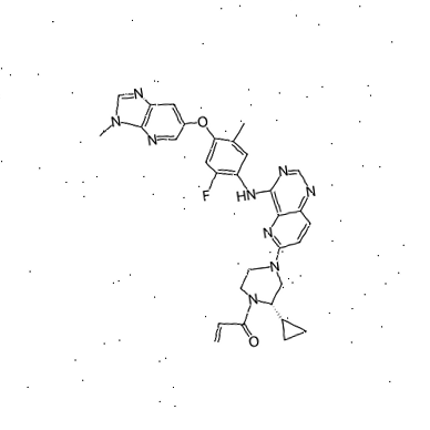 C=CC(=O)N1CCN(c2ccc3ncnc(Nc4cc(C)c(Oc5cnc6c(c5)ncn6C)cc4F)c3n2)C[C@@H]1C1CC1